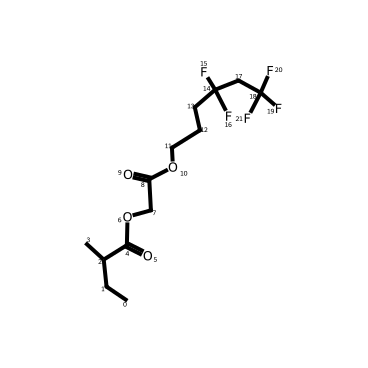 CCC(C)C(=O)OCC(=O)OCCCC(F)(F)CC(F)(F)F